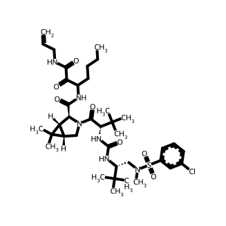 C=CCNC(=O)C(=O)C(CCCC)NC(=O)[C@@H]1[C@@H]2[C@H](CN1C(=O)[C@@H](NC(=O)N[C@H](CN(C)S(=O)(=O)c1cccc(Cl)c1)C(C)(C)C)C(C)(C)C)C2(C)C